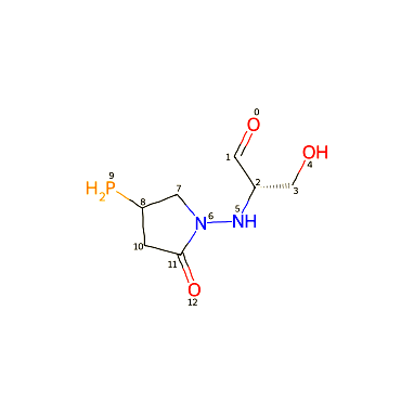 O=C[C@H](CO)NN1CC(P)CC1=O